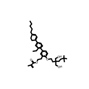 C=C(C)C(=O)OCCc1cc(-c2ccc(C3=CC=C(CCCCC)CC3)cc2CC)ccc1OCCC(CO)(CO)CCC(C)(C)C